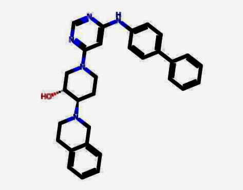 O[C@@H]1CN(c2cc(Nc3ccc(-c4ccccc4)cc3)ncn2)CC[C@H]1N1CCc2ccccc2C1